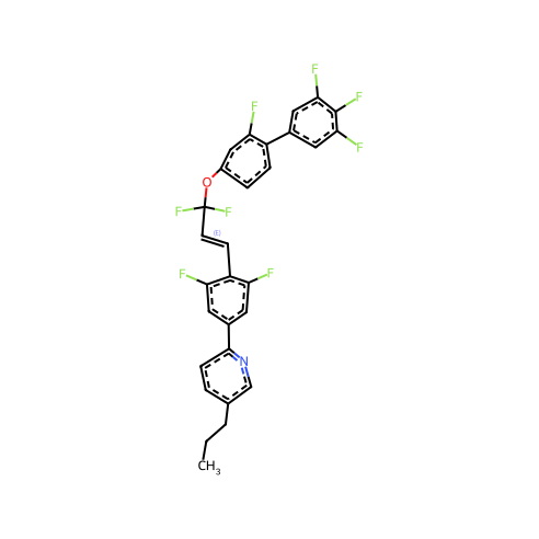 CCCc1ccc(-c2cc(F)c(/C=C/C(F)(F)Oc3ccc(-c4cc(F)c(F)c(F)c4)c(F)c3)c(F)c2)nc1